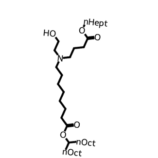 CCCCCCCCC(CCCCCCCC)OC(=O)CCCCCCCN(CCO)CCCC(=O)OCCCCCCC